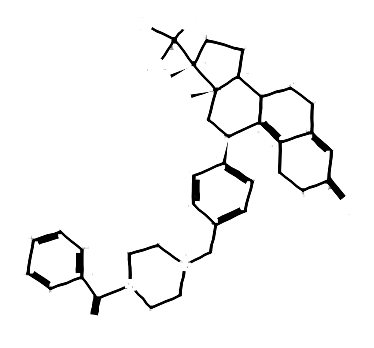 C[C@]12C[C@H](c3ccc(CN4CCN(C(=O)c5ccccc5)CC4)cc3)C3=C4CCC(=O)C=C4CCC3C1CC[C@@]2(O)C(F)(F)C(F)(F)F